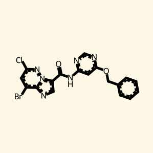 O=C(Nc1cc(OCc2ccccc2)ncn1)c1cnc2c(Br)cc(Cl)nn12